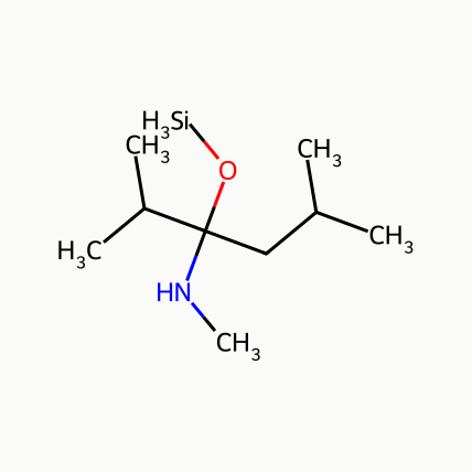 CNC(CC(C)C)(O[SiH3])C(C)C